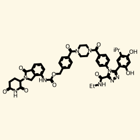 CCNC(=O)c1nnc(-c2cc(C(C)C)c(O)cc2O)n1-c1ccc(C(=O)N2CCN(C(=O)c3ccc(COC(=O)Nc4cccc5c4CN(C4CCC(=O)NC4=O)C5=O)cc3)CC2)cc1